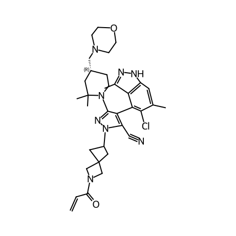 C=CC(=O)N1CC2(CC(n3nc(N4CC[C@@H](CN5CCOCC5)CC4(C)C)c(-c4c(Cl)c(C)cc5[nH]nc(C)c45)c3C#N)C2)C1